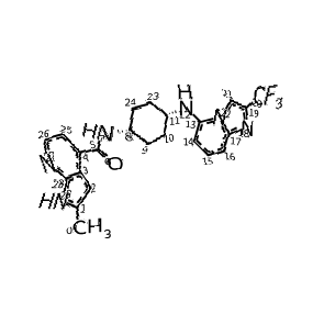 Cc1cc2c(C(=O)N[C@H]3CC[C@@H](Nc4cccc5nc(C(F)(F)F)cn45)CC3)ccnc2[nH]1